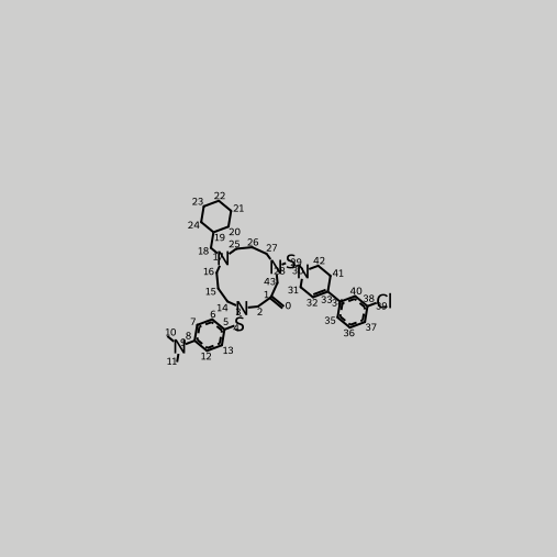 C=C1CN(Sc2ccc(N(C)C)cc2)CCCN(CC2CCCCC2)CCCN(SN2CC=C(c3cccc(Cl)c3)CC2)C1